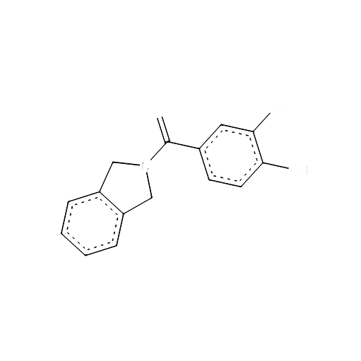 O=C(c1ccc(O)c(Br)c1)N1Cc2ccccc2C1